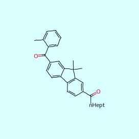 CCCCCCCC(=O)c1ccc2c(c1)C(C)(C)c1cc(C(=O)c3ccccc3C)ccc1-2